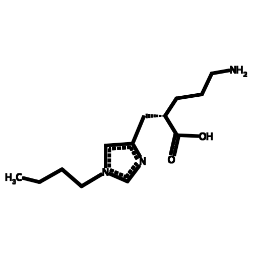 CCCCn1cnc(C[C@H](CCCN)C(=O)O)c1